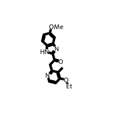 CCOc1ccnc(CC(=O)c2nc3cc(OC)ccc3[nH]2)c1C